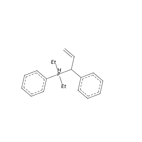 C=CC(c1ccccc1)[PH](CC)(CC)c1ccccc1